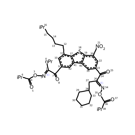 CCC/C(=N\OC(=O)C(C)C)C(=O)c1cc(CCCCC(C)C)c2sc3c([N+](=O)[O-])cc(C(=O)/C(CC4CCCCC4)=N/OC(=O)C(C)C)cc3c2c1